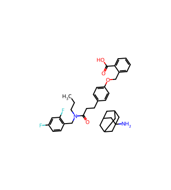 CCCN(Cc1ccc(F)cc1F)C(=O)CCc1ccc(OCc2ccccc2C(=O)O)cc1.NC12CC3CC(CC(C3)C1)C2